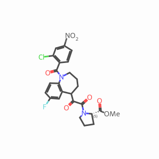 COC(=O)[C@@H]1CCCN1C(=O)C(=O)C1CCCN(C(=O)c2ccc([N+](=O)[O-])cc2Cl)c2ccc(F)cc21